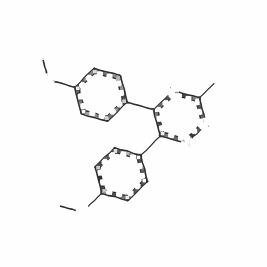 CCOc1ccc(-c2nnc(CC)nc2-c2ccc(OCC)cc2)cc1